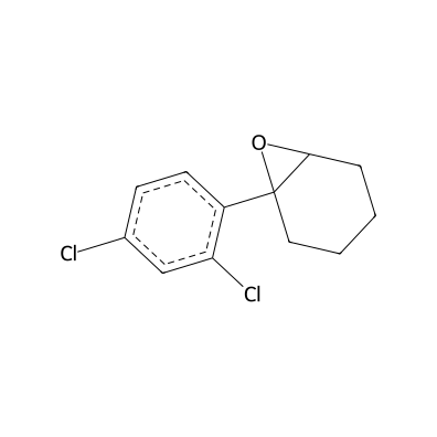 Clc1ccc(C23CCCCC2O3)c(Cl)c1